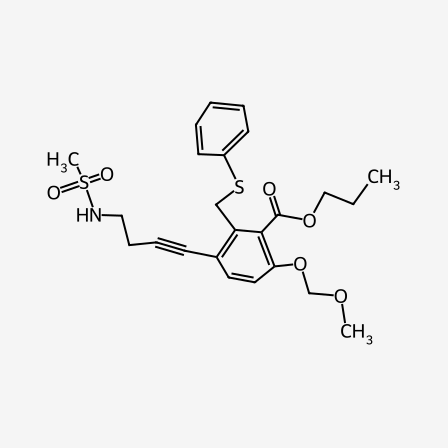 CCCOC(=O)c1c(OCOC)ccc(C#CCCNS(C)(=O)=O)c1CSc1ccccc1